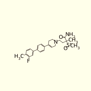 Cc1ccc(-c2ccc(C3=CCN(CCC(C)(C(N)=O)[S+](C)[O-])CC3)cc2)cc1F